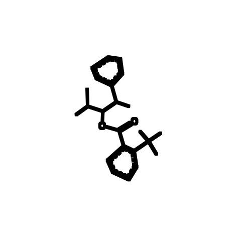 CC(C)C(OC(=O)c1ccccc1C(C)(C)C)C(C)c1ccccc1